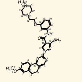 COc1ccc2c(c1)CCc1cnc(-n3cc(C(=O)Nc4cccc(OCCN5CCN(C)CC5)c4)c(N)n3)nc1-2